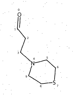 O=[C]CCN1CCSCC1